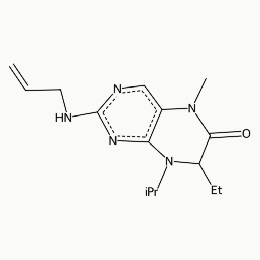 C=CCNc1ncc2c(n1)N(C(C)C)C(CC)C(=O)N2C